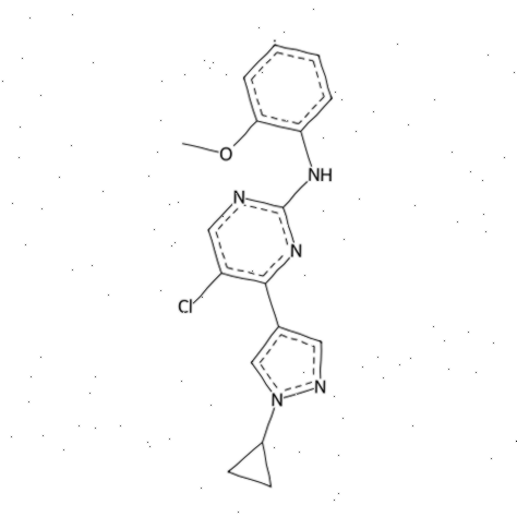 COc1c[c]ccc1Nc1ncc(Cl)c(-c2cnn(C3CC3)c2)n1